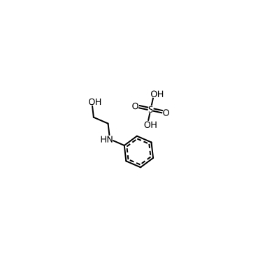 O=S(=O)(O)O.OCCNc1ccccc1